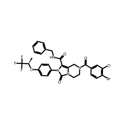 C[C@@H](Oc1ccc(-n2c(C(=O)NCc3ccccc3)c3n(c2=O)CCN(C(=O)c2ccc(Br)c(Cl)c2)C3)cc1)C(F)(F)F